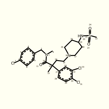 CN(Cc1ccc(Cl)cc1)C(=O)C(C)(CCN1CCC(NS(C)(=O)=O)CC1)c1ccc(Cl)c(Cl)c1